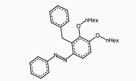 CCCCCCOc1ccc(N=Nc2ccccc2)c(Cc2ccccc2)c1OCCCCCC